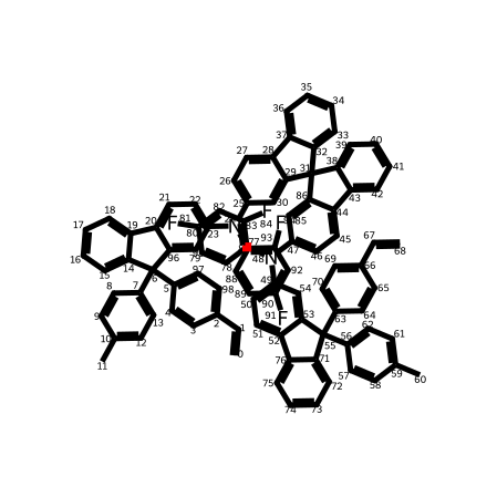 C=Cc1ccc(C2(c3ccc(C)cc3)c3ccccc3-c3ccc(N(c4ccc5c(c4)C4(c6ccccc6-5)c5ccccc5-c5ccc(N(c6ccc7c(c6)C(c6ccc(C)cc6)(c6ccc(C=C)cc6)c6ccccc6-7)c6ccc(F)cc6F)cc54)c4ccc(F)cc4F)cc32)cc1